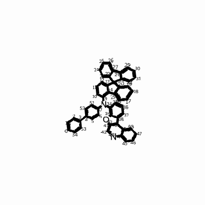 c1ccc(-c2ccc(N(c3cccc4c3-c3ccccc3C43c4ccccc4-c4ccccc43)c3cccc4c3oc3cnc5ccccc5c34)cc2)cc1